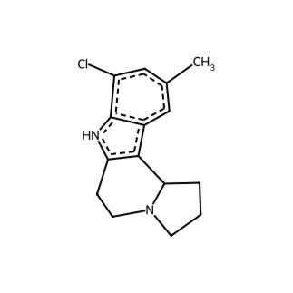 Cc1cc(Cl)c2[nH]c3c(c2c1)C1CCCN1CC3